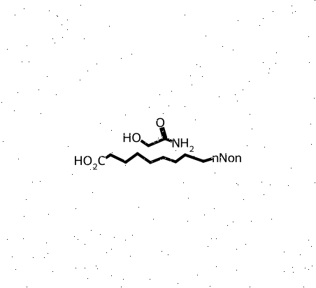 CCCCCCCCCCCCCCCCCC(=O)O.NC(=O)CO